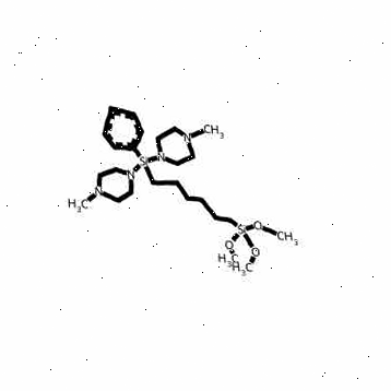 CO[Si](CCCCCC[Si](c1ccccc1)(N1CCN(C)CC1)N1CCN(C)CC1)(OC)OC